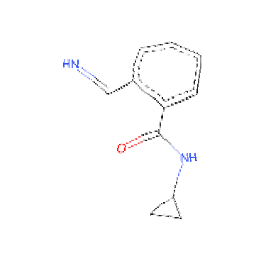 N=Cc1ccccc1C(=O)NC1CC1